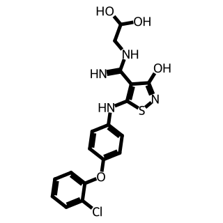 N=C(NCC(O)O)c1c(O)nsc1Nc1ccc(Oc2ccccc2Cl)cc1